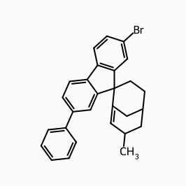 CC1C=C2CC(CCC23c2cc(Br)ccc2-c2ccc(-c4ccccc4)cc23)C1